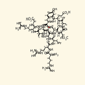 CCC(C)C(NC(=O)C(CC(C)C)NC(=O)C(CCCNC(=N)N)NC(=O)C(N)CCCNC(=N)N)C(=O)NC(CCC(=O)O)C(=O)NC(CC(=O)O)C(=O)NC(C)C(=O)NC(CCC(=O)O)C(=O)NC(Cc1ccc(O)cc1)C(=O)NC(C)C(=O)NC(C)C(=O)NC(CCCNC(=N)N)C(=O)NCC(=O)O